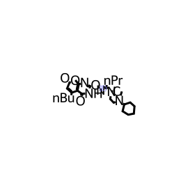 CCCCc1cc(=O)oc2nc(O/N=C(\CCC)N3CCN(C4CCCCC4)CC3)[nH]c(=O)c12